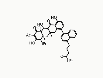 CCCC(=O)CCCc1ccc(-c2ccc(O)c3c2C[C@]2(C)C[C@]4(C)C(C(C)C)C(O)=C(C(C)=O)C(=O)[C@]4(O)C(O)=C2C3=O)c2ccccc12